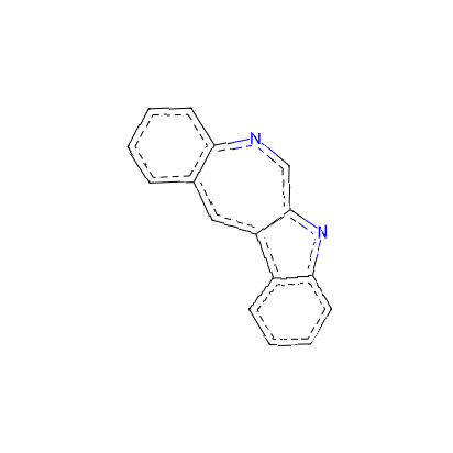 c1ccc2ncc3nc4ccccc4c-3cc2c1